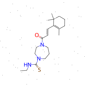 CCNC(=S)N1CCCN(C(=O)C=CC2=C(C)CCCC2(C)C)CC1